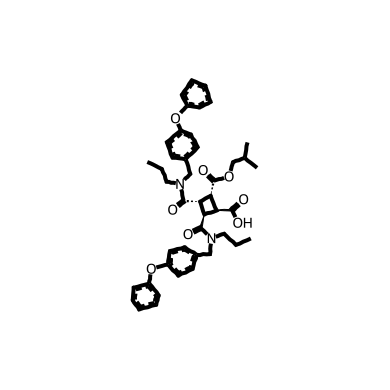 CCCN(Cc1ccc(Oc2ccccc2)cc1)C(=O)[C@@H]1[C@H](C(=O)O)[C@@H](C(=O)OCC(C)C)[C@H]1C(=O)N(CCC)Cc1ccc(Oc2ccccc2)cc1